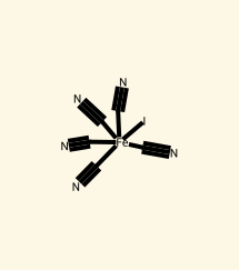 N#[C][Fe]([I])([C]#N)([C]#N)([C]#N)[C]#N